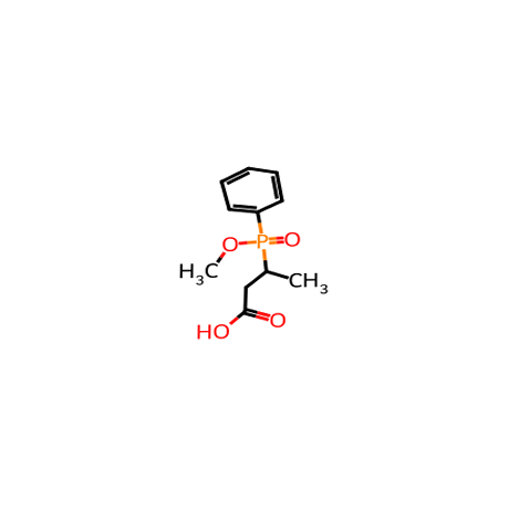 COP(=O)(c1ccccc1)C(C)CC(=O)O